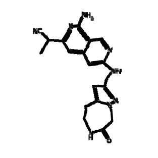 CC(C#N)c1cc2cc(Nc3cc4n(n3)CC(=O)NCC4)ncc2c(N)n1